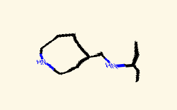 CC(C)NCC1CCCNCC1